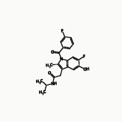 Cc1c(CC(=O)NC(C)C)c2cc(O)c(F)cc2n1C(=O)c1cccc(F)c1